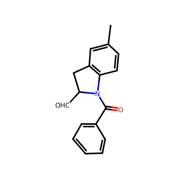 Cc1ccc2c(c1)CC(C=O)N2C(=O)c1ccccc1